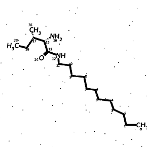 CCCCCCCCCCCCNC(=O)[C@@H](N)[C@@H](C)CC